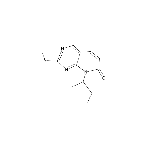 CCC(C)n1c(=O)ccc2cnc(SC)nc21